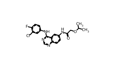 CC(C)OCC(=O)Nc1ccc2ncnc(Nc3ccc(F)c(Cl)c3)c2c1